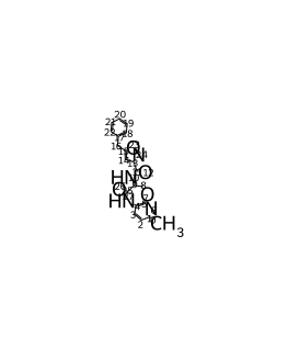 Cc1ccc2c(n1)OCC(NC(=O)c1cc(Cc3ccccc3)on1)C(=O)N2